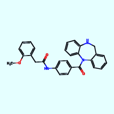 COc1ccccc1CC(=O)Nc1ccc(C(=O)N2c3ccccc3CNc3ccccc32)cc1